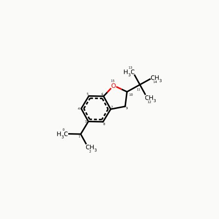 CC(C)c1ccc2c(c1)CC(C(C)(C)C)O2